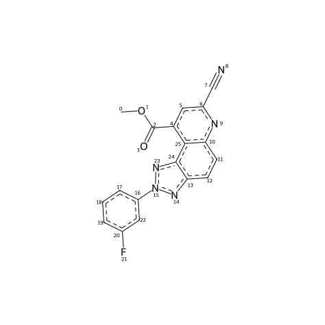 COC(=O)c1cc(C#N)nc2ccc3nn(-c4cccc(F)c4)nc3c12